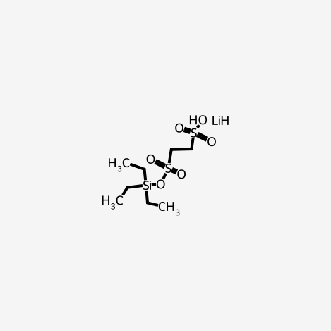 CC[Si](CC)(CC)OS(=O)(=O)CCS(=O)(=O)O.[LiH]